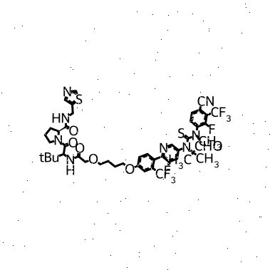 CN(C(=S)N(c1cnc(-c2ccc(OCCCCOCC(=O)NC(C(=O)N3CCC[C@H]3C(=O)NCc3cncs3)C(C)(C)C)cc2C(F)(F)F)c(F)c1)C(C)(C)C=O)c1ccc(C#N)c(C(F)(F)F)c1F